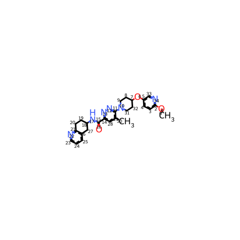 COc1ccc(OC2CCN(c3nnc(C(=O)NC4CCc5ncccc5C4)cc3C)CC2)cn1